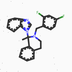 CC1(n2cnc3ccccc32)c2ccccc2CCN1Cc1ccc(F)cc1F